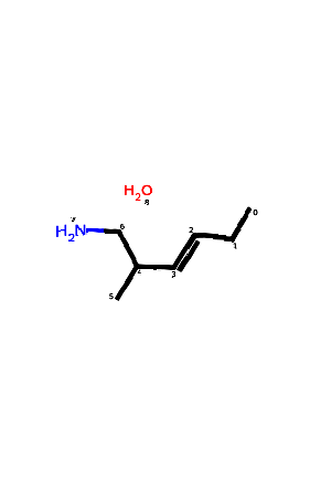 CCC=CC(C)CN.O